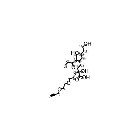 C#CCOCCOCCSC(O)(CC[C@H](C[C@H](O)CCO)NC(=O)CC)C(=O)O